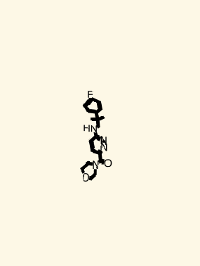 CC(C)(CNc1ccc(C(=O)N2CCOCC2)nn1)c1ccc(F)cc1